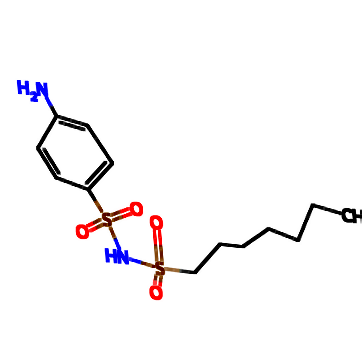 CCCCCCCS(=O)(=O)NS(=O)(=O)c1ccc(N)cc1